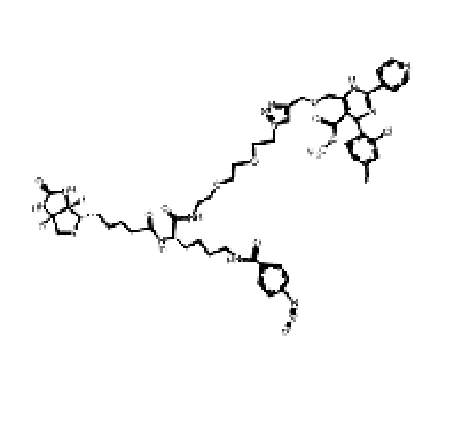 COC(=O)C1=C(COCc2cn(CCOCCOCCNC(=O)[C@@H](CCCCNC(=O)c3ccc(N=[N+]=[N-])cc3)NC(=O)CCCC[C@@H]3SC[C@@H]4NC(=O)N[C@@H]43)nn2)NC(c2ccncc2)=NC1c1ccc(F)cc1Cl